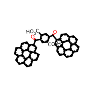 O=C(O)c1cc(C(=O)c2cc3ccc4ccc5ccc6ccc7ccc2c2c7c6c5c4c32)c(C(=O)O)cc1C(=O)c1cc2ccc3ccc4ccc5ccc6ccc1c1c6c5c4c3c21